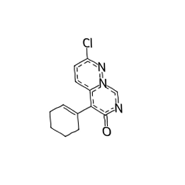 O=c1ncn2nc(Cl)ccc2c1C1=CCCCC1